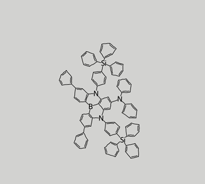 c1ccc(-c2ccc3c(c2)N(c2ccc([Si](c4ccccc4)(c4ccccc4)c4ccccc4)cc2)c2cc(N(c4ccccc4)c4ccccc4)cc4c2B3c2ccc(-c3ccccc3)cc2N4c2ccc([Si](c3ccccc3)(c3ccccc3)c3ccccc3)cc2)cc1